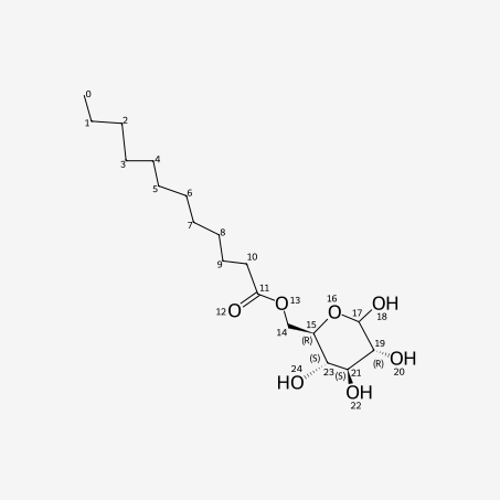 CCCCCCCCCCCC(=O)OC[C@H]1OC(O)[C@H](O)[C@@H](O)[C@@H]1O